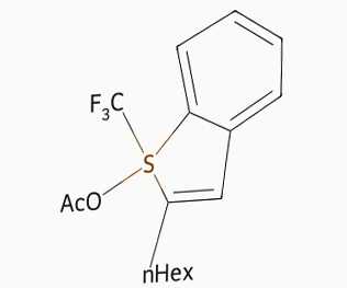 CCCCCCC1=Cc2ccccc2S1(OC(C)=O)C(F)(F)F